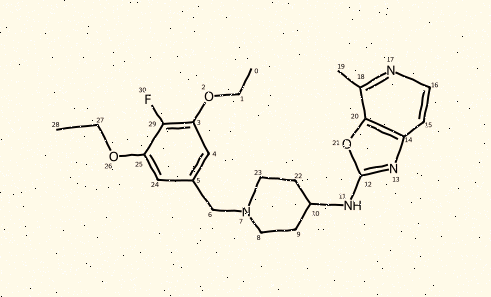 CCOc1cc(CN2CCC(Nc3nc4ccnc(C)c4o3)CC2)cc(OCC)c1F